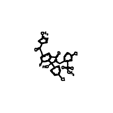 Cn1cc(C(=O)c2cc(F)c3c(c2)C(=O)N(Cc2ccc(Cl)cc2S(C)(=O)=O)C3(O)c2ccc(Cl)cc2)cn1